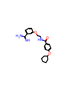 N=C(N)c1cccc(OCCNC(=O)c2ccc(OC3CCCCC3)cc2)c1